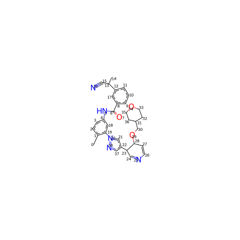 Cc1ccc(NC(=O)c2cccc(C(C)C#N)c2)cc1-n1cc(C2C=NC=CC2OCC2CCOCC2)cn1